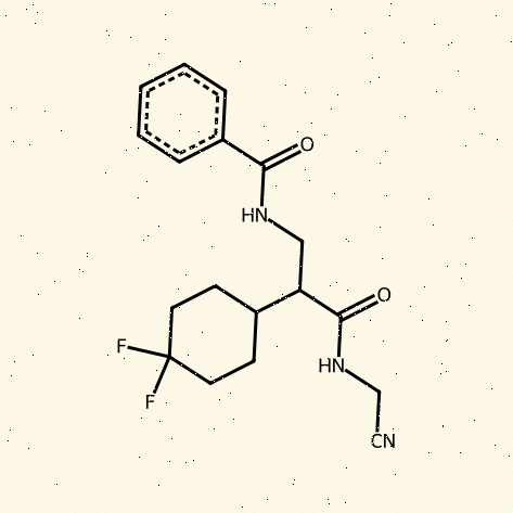 N#CCNC(=O)C(CNC(=O)c1ccccc1)C1CCC(F)(F)CC1